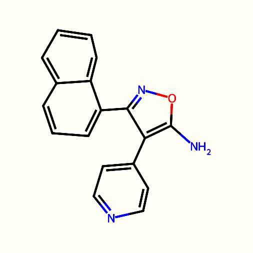 Nc1onc(-c2cccc3ccccc23)c1-c1ccncc1